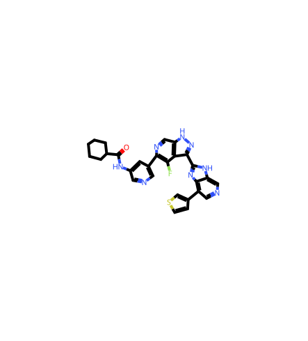 O=C(Nc1cncc(-c2ncc3[nH]nc(-c4nc5c(-c6ccsc6)cncc5[nH]4)c3c2F)c1)C1CCCCC1